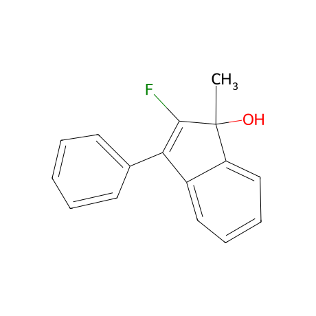 CC1(O)C(F)=C(c2ccccc2)c2ccccc21